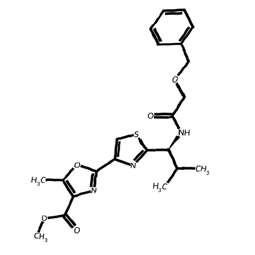 COC(=O)c1nc(-c2csc([C@@H](NC(=O)COCc3ccccc3)C(C)C)n2)oc1C